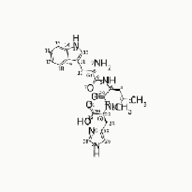 CC(C)C[C@H](NC(=O)[C@@H](N)Cc1c[nH]c2ccccc12)C(=O)N[C@@H](Cc1c[nH]cn1)C(=O)O